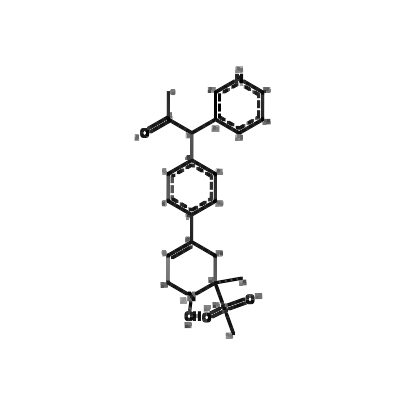 CC(=O)C(c1ccc(C2=CCN(O)C(C)(S(C)(=O)=O)C2)cc1)c1cccnc1